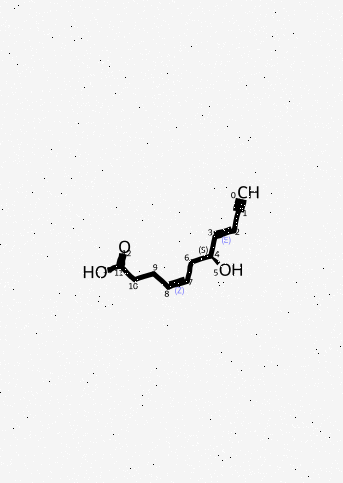 C#C/C=C/[C@@H](O)C/C=C\CCC(=O)O